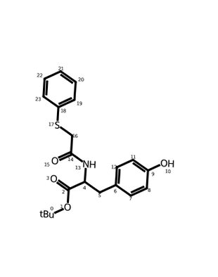 CC(C)(C)OC(=O)C(Cc1ccc(O)cc1)NC(=O)CSc1ccccc1